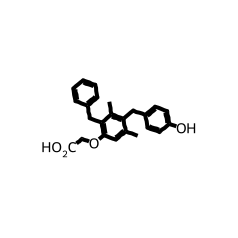 Cc1cc(OCC(=O)O)c(Cc2ccccc2)c(C)c1Cc1ccc(O)cc1